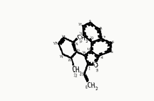 C=Cc1oc2ccc3ccccc3c2c1C1=C(C)C=CCC1C